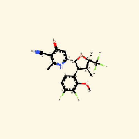 COc1c([C@H]2[C@H](c3cc(=O)c(C#N)c(C)[nH]3)O[C@@](C)(C(F)(F)F)[C@H]2C)ccc(F)c1F